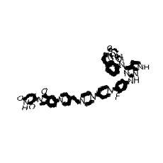 CS(=O)(=O)N1CCc2cccc(Nc3nc(Nc4ccc(N5CCC(N6CCN(CCC7CCN(c8ccc9c(c8)C(=O)N(C8CCC(=O)NC8=O)C9)CC7)CC6)CC5)c(F)c4)nc4[nH]ccc34)c21